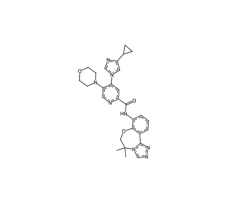 CC1(C)COc2c(NC(=O)c3cc(-n4cnc(C5CC5)c4)c(N4CCOCC4)cn3)cccc2-c2nncn21